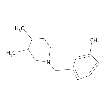 Cc1cccc(CN2CCC(C)C(C)C2)c1